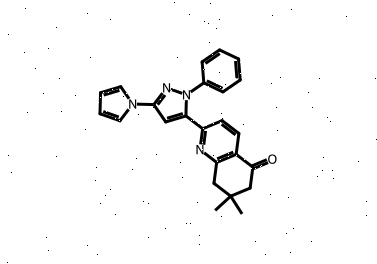 CC1(C)CC(=O)c2ccc(-c3cc(-n4cccc4)nn3-c3ccccc3)nc2C1